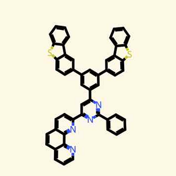 c1ccc(-c2nc(-c3cc(-c4ccc5sc6ccccc6c5c4)cc(-c4ccc5sc6ccccc6c5c4)c3)cc(-c3ccc4ccc5cccnc5c4n3)n2)cc1